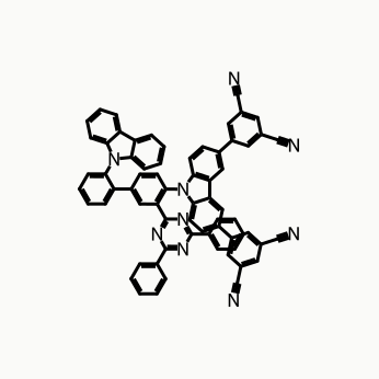 N#Cc1cc(C#N)cc(-c2ccc3c(c2)c2cc(-c4cc(C#N)cc(C#N)c4)ccc2n3-c2ccc(-c3ccccc3-n3c4ccccc4c4ccccc43)cc2-c2nc(-c3ccccc3)nc(-c3ccccc3)n2)c1